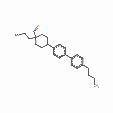 CCCCc1ccc(-c2ccc(C3CCC(C=O)(CCC)CC3)cc2)cc1